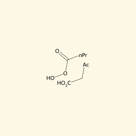 CC(=O)CC(=O)O.CCCC(=O)OO